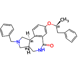 C[C@@H](Cc1ccccc1)Oc1ccc2c(c1)C(=O)NC[C@@H]1CN(Cc3ccccc3)C[C@@H]21